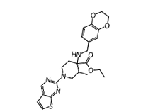 CCOC(=O)C1(NCc2ccc3c(c2)OCCO3)CCN(c2ncc3ccsc3n2)CC1C